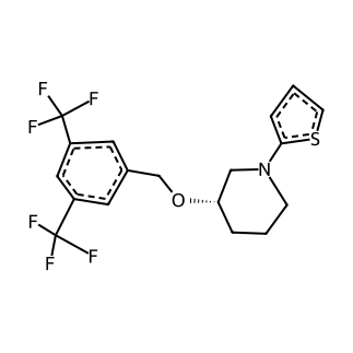 FC(F)(F)c1cc(CO[C@H]2CCCN(c3cccs3)C2)cc(C(F)(F)F)c1